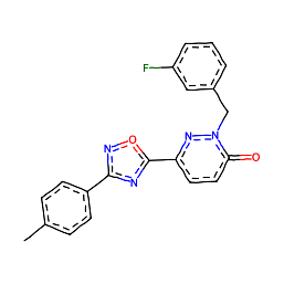 Cc1ccc(-c2noc(-c3ccc(=O)n(Cc4cccc(F)c4)n3)n2)cc1